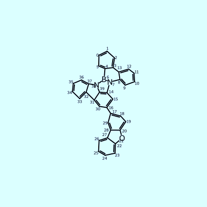 c1ccc2c(c1)B1N(c3ccccc3-2)c2cc(-c3ccc4oc5ccccc5c4c3)cc3c4ccccc4n1c23